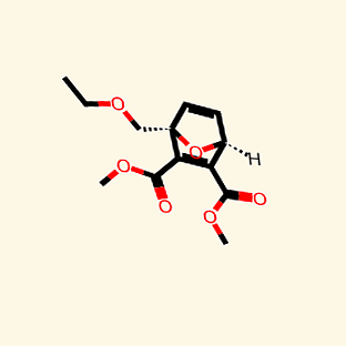 CCOC[C@]12C=C[C@H](O1)C(C(=O)OC)=C2C(=O)OC